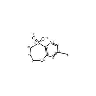 Cc1cnc2c(c1)OCCCS2(=O)=O